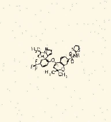 CC(C)n1nccc1-c1cc(C(F)(F)F)ccc1O[C@@H]1CC(C)(C)Oc2cc(S(=O)(=O)Nc3nccs3)ccc21